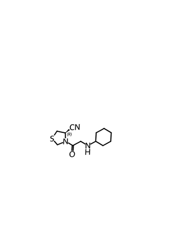 N#C[C@@H]1CSCN1C(=O)CNC1CCCCC1